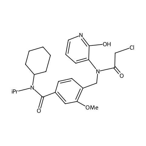 COc1cc(C(=O)N(C(C)C)C2CCCCC2)ccc1CN(C(=O)CCl)c1cccnc1O